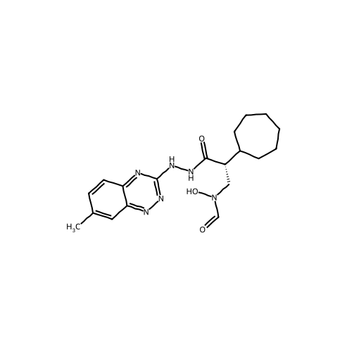 Cc1ccc2nc(NNC(=O)[C@@H](CN(O)C=O)C3CCCCCC3)nnc2c1